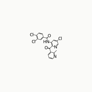 Cc1ncccc1C(=O)c1ncc(Cl)cc1NC(=O)c1ccc(Cl)c(Cl)c1